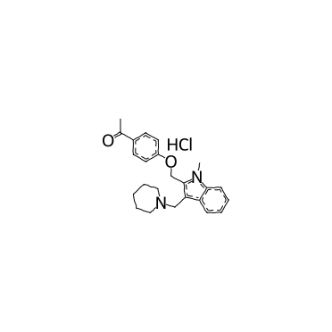 CC(=O)c1ccc(OCc2c(CN3CCCCC3)c3ccccc3n2C)cc1.Cl